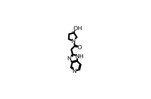 O=C(Cc1nc2cnccc2[nH]1)N1CC[C@@H](O)C1